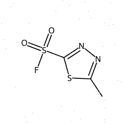 Cc1nnc(S(=O)(=O)F)s1